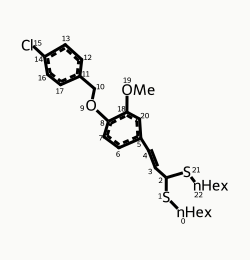 CCCCCCSC(/C=C/c1ccc(OCc2ccc(Cl)cc2)c(OC)c1)SCCCCCC